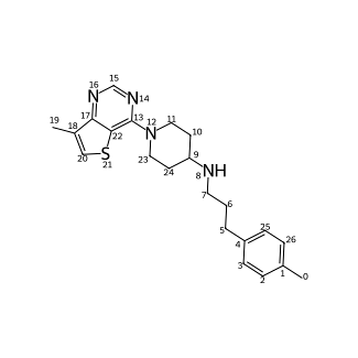 Cc1ccc(CCCNC2CCN(c3ncnc4c(C)csc34)CC2)cc1